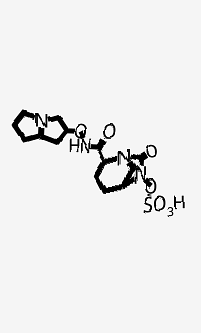 O=C(NOC1CC2CCCN2C1)[C@@H]1CCC2CN1C(=O)N2OS(=O)(=O)O